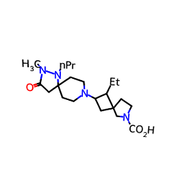 CCCN1N(C)C(=O)CC12CCN(C1CC3(CCN(C(=O)O)C3)C1CC)CC2